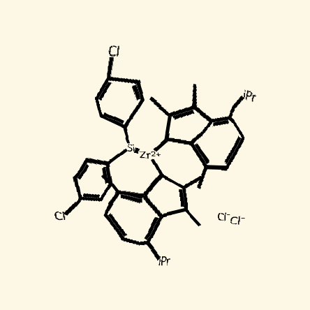 CC1=C(C)[CH]([Zr+2]([CH]2C(C)=C(C)c3c(C(C)C)ccc(C)c32)=[Si](c2ccc(Cl)cc2)c2ccc(Cl)cc2)c2c(C)ccc(C(C)C)c21.[Cl-].[Cl-]